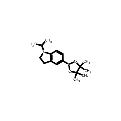 CC(C)N1CCc2cc(B3OC(C)(C)C(C)(C)O3)ccc21